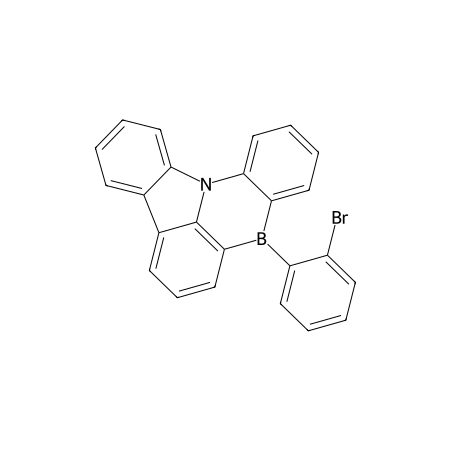 Brc1ccccc1B1c2ccccc2-n2c3ccccc3c3cccc1c32